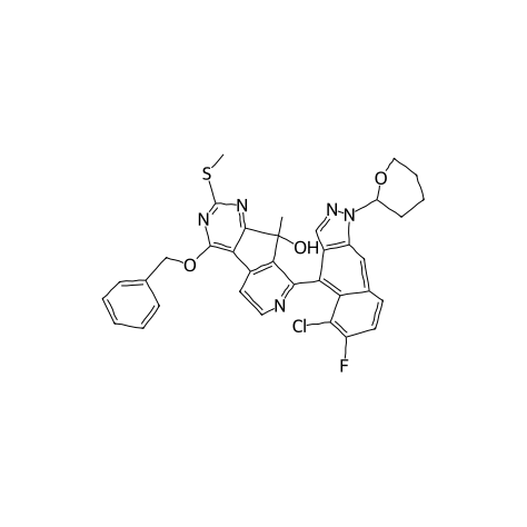 CSc1nc(OCc2ccccc2)c2c(n1)C(C)(O)c1c-2ccnc1-c1c2cnn(C3CCCCO3)c2cc2ccc(F)c(Cl)c12